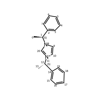 C[C@@H](c1ccccc1)n1cc[n+]([C@@H](C)c2ccccc2)c1